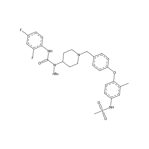 CCCCN(C(=O)Nc1ccc(F)cc1F)C1CCN(Cc2ccc(Oc3ccc(NS(C)(=O)=O)cc3C)cc2)CC1